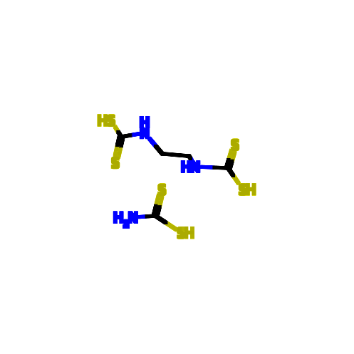 NC(=S)S.S=C(S)NCCNC(=S)S